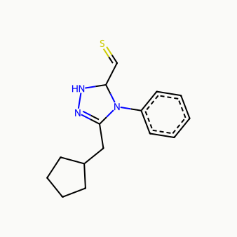 S=CC1NN=C(CC2CCCC2)N1c1ccccc1